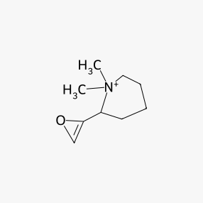 C[N+]1(C)CCCCC1C1=CO1